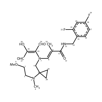 COCCN(C)C1(CN(/C=C(\C)C(=O)NCc2ccc(F)cc2F)/C(C=O)=C(/O)C=O)CC1